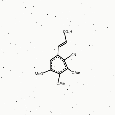 COc1cc(C=CC(=O)O)c(C#N)c(OC)c1OC